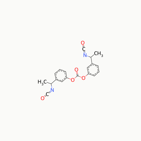 CC(N=C=O)c1cccc(OC(=O)Oc2cccc(C(C)N=C=O)c2)c1